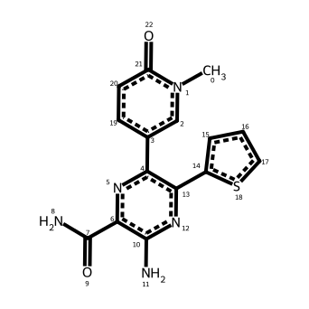 Cn1cc(-c2nc(C(N)=O)c(N)nc2-c2cccs2)ccc1=O